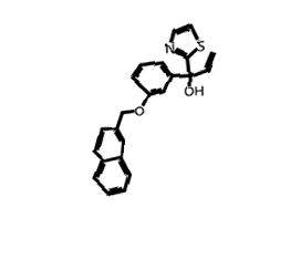 C=CC(O)(c1cccc(OCc2ccc3ccccc3c2)c1)c1nccs1